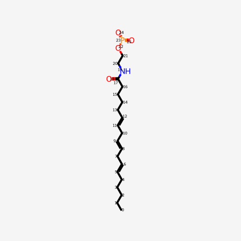 CCCCCC=CCC=CCC=CCCCCC(=O)NCCOP(=O)=O